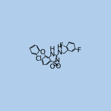 O=S1(=O)N=C(NCc2cc(F)ccc2F)Nc2c(Oc3ccccc3Cl)cccc21